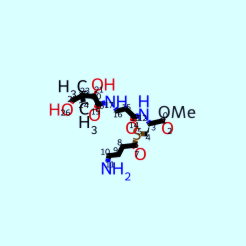 COC(=O)[C@H](CSC(=O)CCCN)NC(=O)CCNC(=O)[C@H](O)C(C)(C)CO